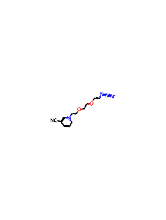 N#CC1=CN(CCOCCOCCN=[N+]=[N-])CC=C1